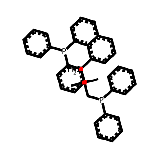 CC(C)(CP(c1ccccc1)c1ccccc1)[SiH2]c1cccc2cccc(P(c3ccccc3)c3ccccc3)c12